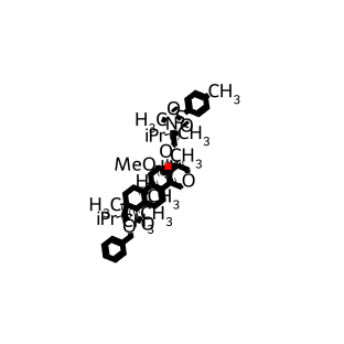 CO[C@@H]1C[C@@]23COC[C@@](C)([C@@H]2CC[C@H]2C3=CC[C@@]3(C)[C@H](C(=O)OCc4ccccc4)[C@@](C)([C@H](C)C(C)C)CC[C@]23C)[C@H]1OC[C@@](C)(C(C)C)N(C)S(=O)(=O)c1ccc(C)cc1